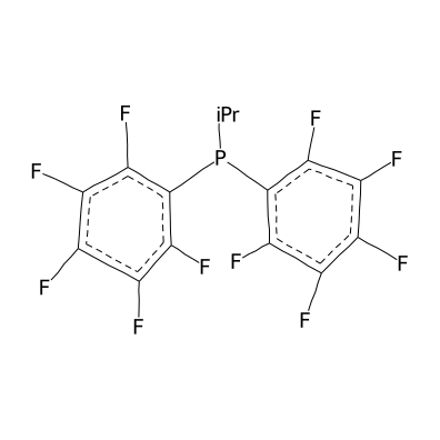 CC(C)P(c1c(F)c(F)c(F)c(F)c1F)c1c(F)c(F)c(F)c(F)c1F